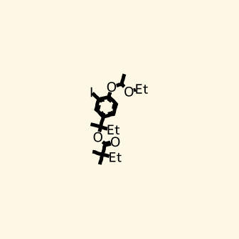 CCOC(C)Oc1ccc(C(C)(CC)OC(=O)C(C)(C)CC)cc1I